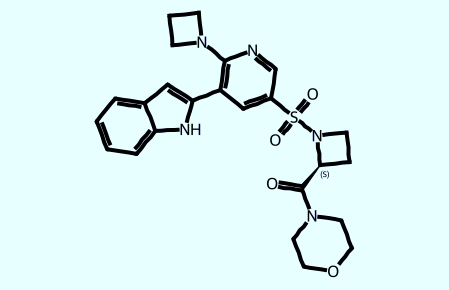 O=C([C@@H]1CCN1S(=O)(=O)c1cnc(N2CCC2)c(-c2cc3ccccc3[nH]2)c1)N1CCOCC1